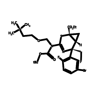 CCOC(=O)[C@]12C[C@H]1[C@@](CF)(c1cc(Br)ccc1F)N=C(N(COCC[Si](C)(C)C)C(=O)OC(C)(C)C)S2